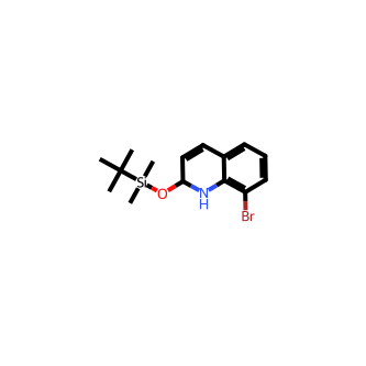 CC(C)(C)[Si](C)(C)OC1C=Cc2cccc(Br)c2N1